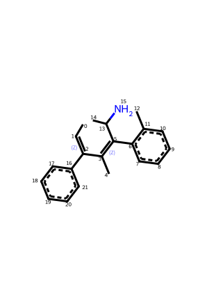 C/C=C(\C(C)=C(\c1ccccc1C)C(C)N)c1ccccc1